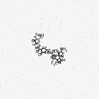 Nc1cnc(-c2[nH]nc(C(F)(F)F)c2-c2cnc(C(=O)NCc3ccc(C(=O)N4CCN(C(=O)C5CCNCC5)CC4)c(Cl)c3)[nH]2)cc1Cl